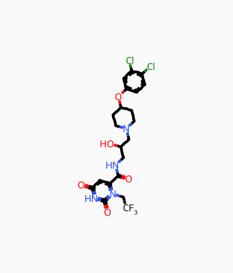 O=C(NCC(O)CN1CCC(Oc2ccc(Cl)c(Cl)c2)CC1)c1cc(=O)[nH]c(=O)n1CC(F)(F)F